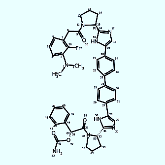 CN(C)c1cccc(CC(=O)N2CCC[C@H]2c2ncc(-c3ccc(-c4ccc(-c5cnc([C@@H]6CCCN6C(=O)[C@H](OC(N)=O)c6ccccc6)[nH]5)cc4)cc3)[nH]2)c1F